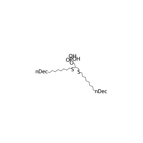 CCCCCCCCCCCCCCCCCCSCC(COP(=O)(O)O)SCCCCCCCCCCCCCCCCCC